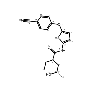 CCN(C[C@H](C)O)C(=O)Nc1ncc(Oc2ccc(C#N)cc2)s1